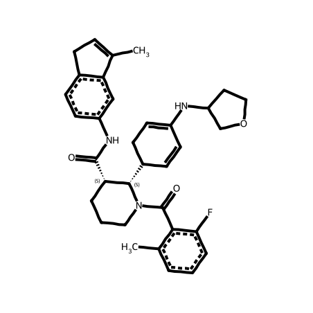 CC1=CCc2ccc(NC(=O)[C@H]3CCCN(C(=O)c4c(C)cccc4F)[C@H]3C3C=CC(NC4CCOC4)=CC3)cc21